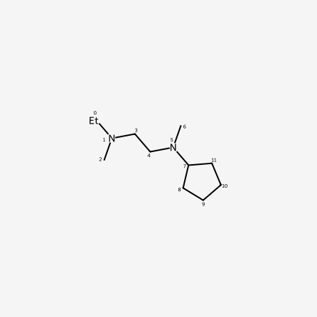 CCN(C)CCN(C)C1CCCC1